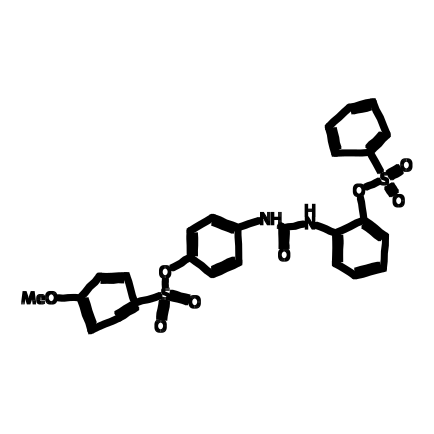 COc1ccc(S(=O)(=O)Oc2ccc(NC(=O)Nc3ccccc3OS(=O)(=O)c3ccccc3)cc2)cc1